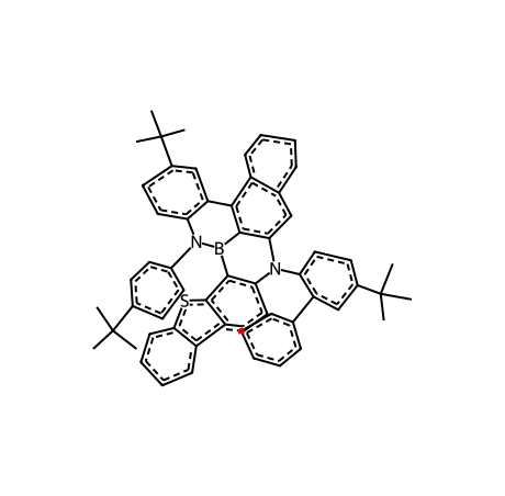 CC(C)(C)c1ccc(N2B3c4c(cc5ccccc5c4-c4cc(C(C)(C)C)ccc42)N(c2ccc(C(C)(C)C)cc2-c2ccccc2)c2ccc4c(sc5ccccc54)c23)cc1